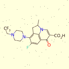 CC1Cc2c(N3CCN(CC(F)(F)F)CC3)c(F)cc3c(=O)c(C(=O)O)cn1c23